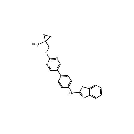 O=C(O)C1(COc2ncc(-c3ccc(Nc4nc5ccccc5s4)cc3)cn2)CC1